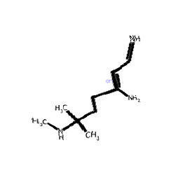 CNC(C)(C)CC/C(N)=C/C=N